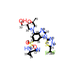 C[C@H]1CN(c2cc(S(=O)(=O)NC3(C#N)CC3)cc3c2ncn3-c2nnc(C(F)F)s2)C[C@H](CO)O1